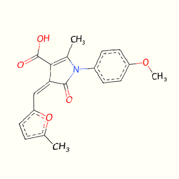 COc1ccc(N2C(=O)C(=Cc3ccc(C)o3)C(C(=O)O)=C2C)cc1